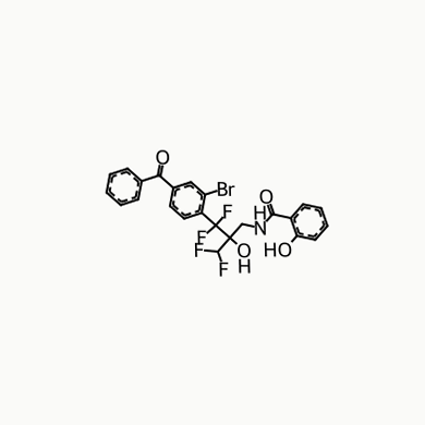 O=C(c1ccccc1)c1ccc(C(F)(F)C(O)(CNC(=O)c2ccccc2O)C(F)F)c(Br)c1